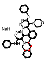 C(=Cc1cccc(-c2nnnc(Nc3ccccc3)c2N2CCOCC2)c1-c1nnnc(Nc2ccccc2)c1N1CCOCC1)c1ccccc1.[NaH]